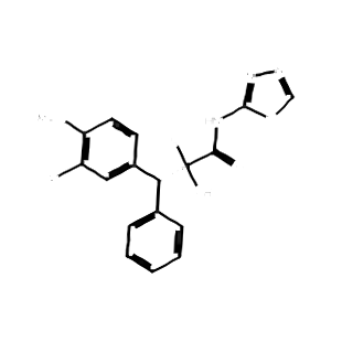 COc1ccc([C@@H](c2ccccc2)C(C)(C)C(=O)Nc2nncs2)cc1Br